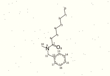 [CH2]CCCCCCC(=O)N(C)Cc1ccccc1